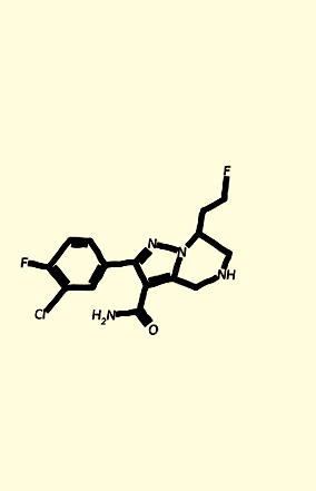 NC(=O)c1c(-c2ccc(F)c(Cl)c2)nn2c1CNCC2CCF